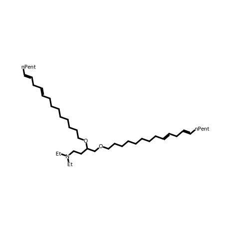 CCCCCC=CCC=CCCCCCCCCOCC(CCN(CC)CC)OCCCCCCCCC=CCC=CCCCCC